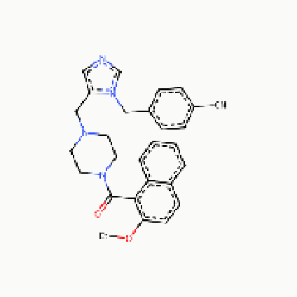 CCOc1ccc2ccccc2c1C(=O)N1CCN(Cc2cncn2Cc2ccc(C#N)cc2)CC1